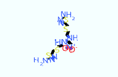 Nc1nnc(CSCCNC(=C[N+](=O)[O-])NCCSCc2nnc(N)s2)s1